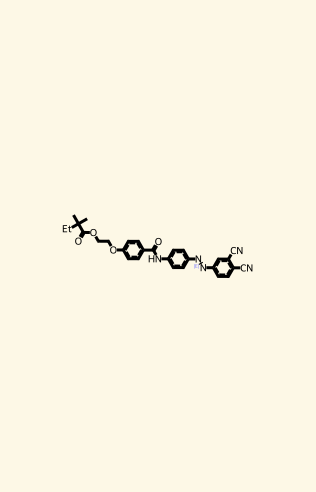 CCC(C)(C)C(=O)OCCOc1ccc(C(=O)Nc2ccc(/N=N/c3ccc(C#N)c(C#N)c3)cc2)cc1